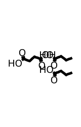 CCCC(=O)O.CCCC(=O)O.O=C(O)CCC(=O)O